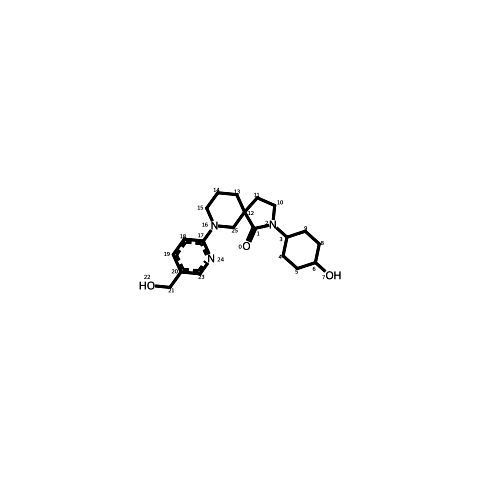 O=C1N(C2CCC(O)CC2)CCC12CCCN(c1ccc(CO)cn1)C2